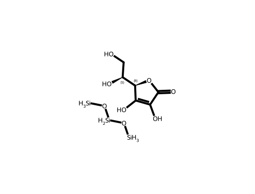 O=C1O[C@H]([C@@H](O)CO)C(O)=C1O.[SiH3]O[SiH2]O[SiH3]